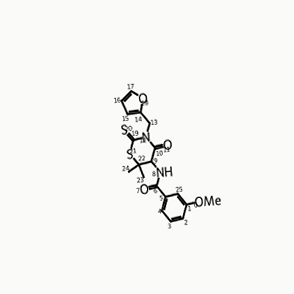 COc1cccc(C(=O)NC2C(=O)N(Cc3ccco3)C(=S)SC2(C)C)c1